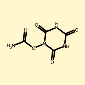 NC(=O)On1c(=O)[nH]c(=O)[nH]c1=O